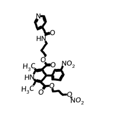 CC1=C(C(=O)OCCCNC(=O)c2ccncc2)C(c2cccc([N+](=O)[O-])c2)C(C(=O)OCCCO[N+](=O)[O-])=C(C)N1